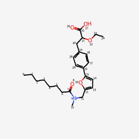 CCCCCCCC(=O)N(C)Cc1ccc(-c2ccc(CC(OCC)C(=O)O)cc2)o1